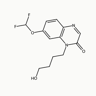 O=c1cnc2ccc(OC(F)F)cc2n1CCCCO